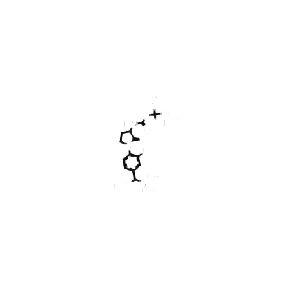 CC(c1ccc(N2CCC(NC(=O)OC(C)(C)C)C2=O)c(F)c1)N(C)C